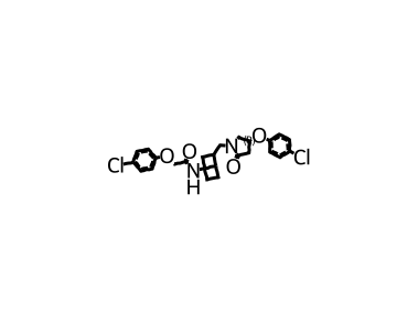 O=C(COc1ccc(Cl)cc1)NC12CCC1C(CN1C[C@H](Oc3ccc(Cl)cc3)CC1=O)C2